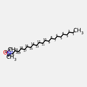 CCCCCCCCCCCCCCCCCCCCCC[N+](C)(C)[O-]